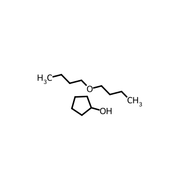 CCCCOCCCC.OC1CCCC1